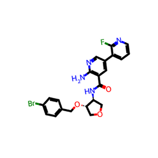 Nc1ncc(-c2cccnc2F)cc1C(=O)N[C@H]1COC[C@@H]1OCc1ccc(Br)cc1